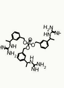 CC(NC(=N)N)c1cccc(COP(=O)(OCc2cccc(C(C)NC(=N)N)c2)OCc2cccc(C(C)NC(=N)N)c2)c1